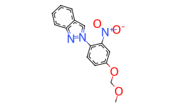 COCOc1ccc(-n2cc3ccccc3n2)c([N+](=O)[O-])c1